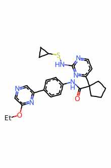 CCOc1cncc(-c2ccc(NC(=O)C3(c4ccnc(NSC5CC5)n4)CCCC3)cc2)n1